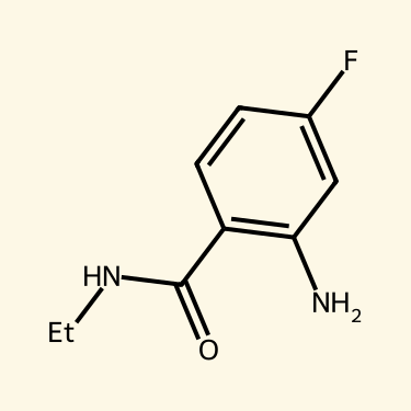 CCNC(=O)c1ccc(F)cc1N